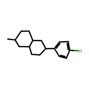 CC1CCC2CC(c3ccc(Cl)cc3)CCC2C1